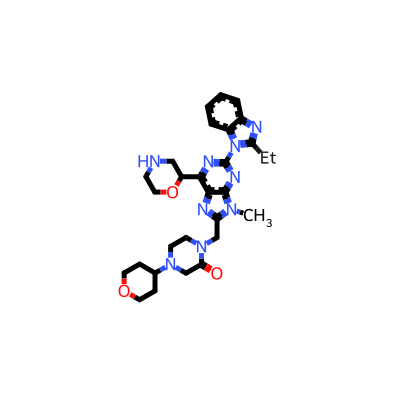 CCc1nc2ccccc2n1-c1nc(C2CNCCO2)c2nc(CN3CCN(C4CCOCC4)CC3=O)n(C)c2n1